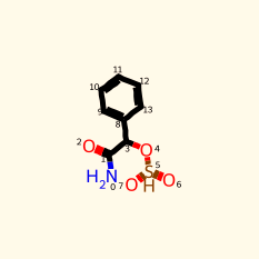 NC(=O)C(O[SH](=O)=O)c1ccccc1